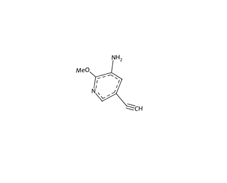 C#Cc1cnc(OC)c(N)c1